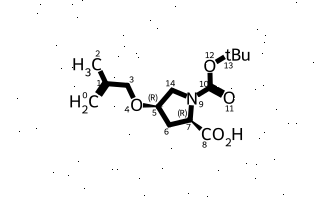 C=C(C)CO[C@@H]1C[C@H](C(=O)O)N(C(=O)OC(C)(C)C)C1